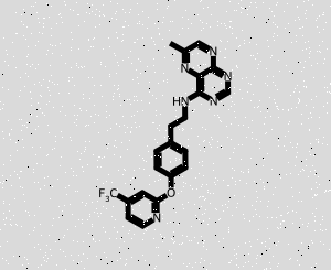 Cc1cnc2ncnc(NCCc3ccc(Oc4cc(C(F)(F)F)ccn4)cc3)c2n1